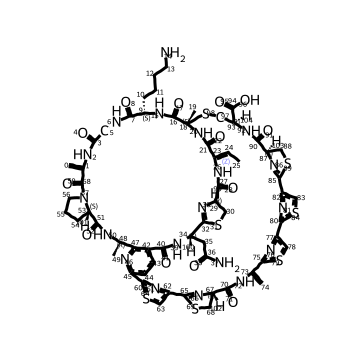 C=C1NC(=O)CNC(=O)[C@H](CCCCN)NC(=O)[C@@]2(C)NC(=O)/C(=C/C)NC(=O)[C@@H]3CSC(=N3)[C@H](CC(N)=O)NC(=O)c3ccc(nc3[C@@H](C)NC(=O)[C@@H]3CCCN3C1=O)-c1nc(cs1)C1=N[C@@H](CS1)C(=O)NC(=C)c1nc(cs1)-c1nc(cs1)C1=N[C@H](CS1)C(=O)N[C@H](C(=O)O)CS2